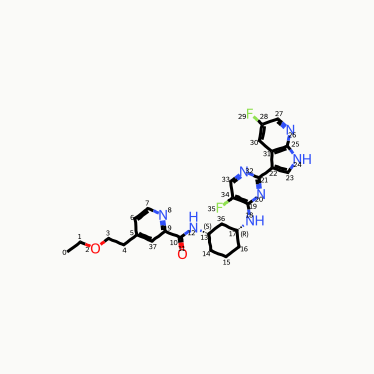 CCOCCc1ccnc(C(=O)N[C@H]2CCC[C@@H](Nc3nc(-c4c[nH]c5ncc(F)cc45)ncc3F)C2)c1